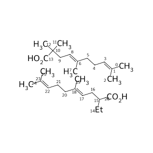 CC(C)=CCC/C(C)=C/CC(C)(C)C(=O)O.CCC(C/C=C(\C)CCC=C(C)C)C(=O)O